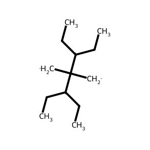 [CH2]C([CH2])([C](CC)CC)[C](CC)CC